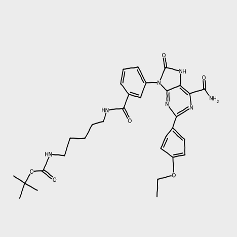 CCOc1ccc(-c2nc(C(N)=O)c3[nH]c(=O)n(-c4cccc(C(=O)NCCCCCNC(=O)OC(C)(C)C)c4)c3n2)cc1